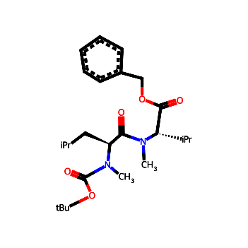 CC(C)C[C@@H](C(=O)N(C)[C@H](C(=O)OCc1ccccc1)C(C)C)N(C)C(=O)OC(C)(C)C